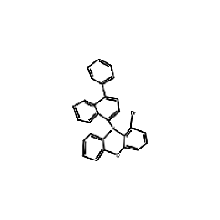 Brc1cccc2c1N(c1ccc(-c3ccccc3)c3ccccc13)c1ccccc1O2